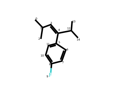 CC(C)/C=C(\c1ccc(F)cc1)C(C)C